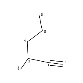 C#CC([CH2])CCC